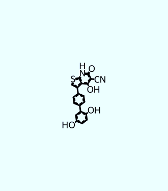 N#Cc1c(O)c2c(-c3ccc(-c4cc(O)ccc4O)cc3)csc2[nH]c1=O